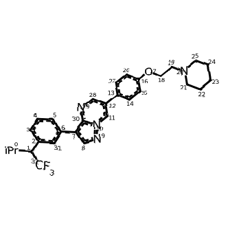 CC(C)C(c1cccc(-c2cnn3cc(-c4ccc(OCCN5CCCCC5)cc4)cnc23)c1)C(F)(F)F